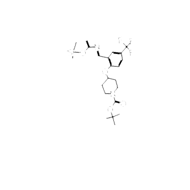 C=C(/N=C/c1cc(C(F)(F)F)ccc1OC1CCN(C(=O)OC(C)(C)C)CC1)O[Si](C)(C)C